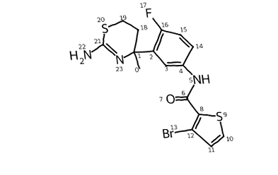 CC1(c2cc(NC(=O)c3sccc3Br)ccc2F)CCSC(N)=N1